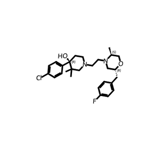 C[C@H]1CO[C@H](Cc2ccc(F)cc2)CN1CCN1CC[C@@](O)(c2ccc(Cl)cc2)C(C)(C)C1